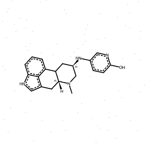 CN1C[C@H](Nc2ccc(O)nc2)CC2c3cccc4[nH]cc(c34)C[C@H]21